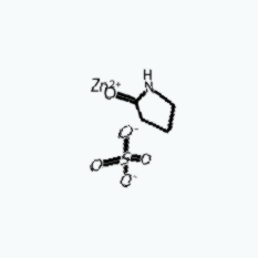 O=C1CCCN1.O=S(=O)([O-])[O-].[Zn+2]